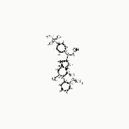 CCCS(=O)(=O)c1ccc(C(CO)c2nc3c(Cl)c(-c4ccccc4OC(F)(F)F)c(Cl)cc3[nH]2)cc1